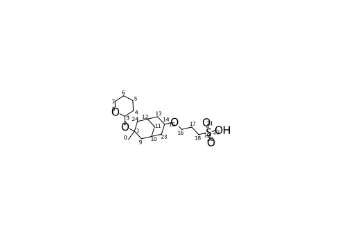 CC1(OC2CCCCO2)CC2CC(CC(OCCCS(=O)(=O)O)C2)C1